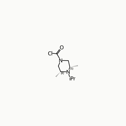 CC(C)N1[C@H](C)CN(C(=O)Cl)C[C@@H]1C